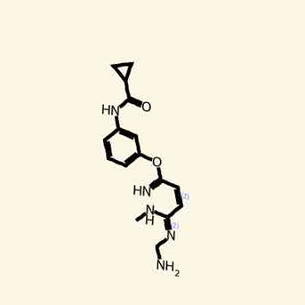 CNC(/C=C\C(=N)Oc1cccc(NC(=O)C2CC2)c1)=N\CN